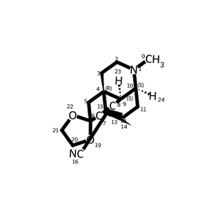 CN1CC[C@@]23CC4(CC[C@@H]2[C@@H]1Cc1ccc(C#N)cc13)OCCO4